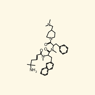 CN(C)CC1CCN(C(=O)C(Cc2ccccc2)N(C)C(=O)C(Cc2ccc3ccccc3c2)N(C)C(=O)/C=C/CC(C)(C)N)CC1